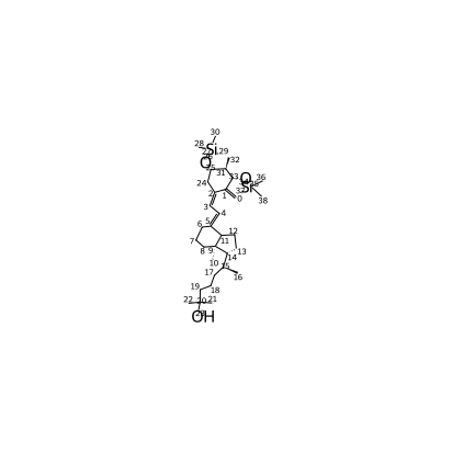 C=C1/C(=C\C=C2CCC[C@@]3(C)C2CC[C@@H]3[C@@H](C)CCCC(C)(C)O)C[C@H](O[Si](C)(C)C)[C@@H](C)[C@@H]1O[Si](C)(C)C